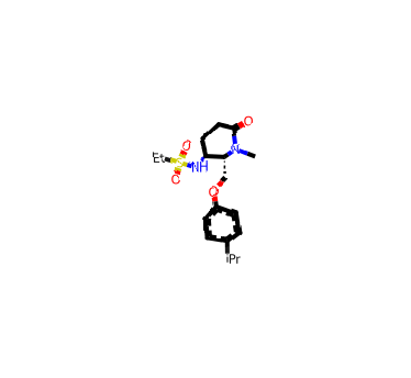 CCS(=O)(=O)N[C@H]1CCC(=O)N(C)[C@@H]1COc1ccc(C(C)C)cc1